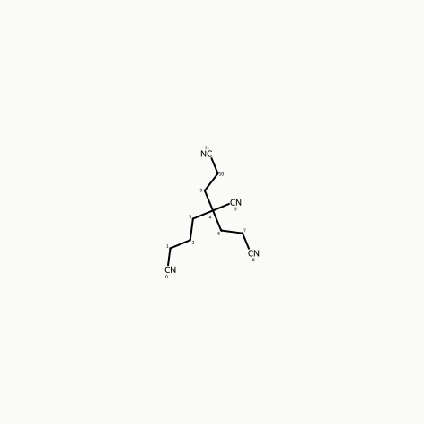 N#CCCCC(C#N)(CCC#N)CCC#N